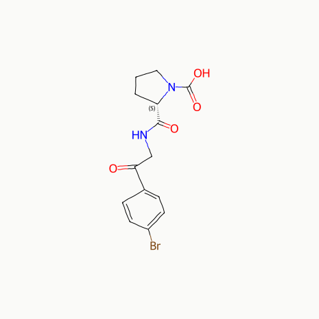 O=C(CNC(=O)[C@@H]1CCCN1C(=O)O)c1ccc(Br)cc1